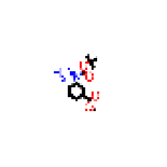 COC(=O)C1CCCC(N(N)C(=O)OC(C)(C)C)C1